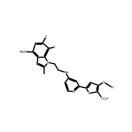 CCOc1cc(-c2cc(NCCn3c(C)cc4c(OC)cc(F)c(F)c43)ccn2)sc1C(=O)O